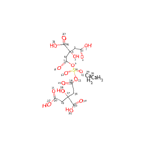 O=C(O)CC(O)(CC(=O)OS(=O)(=O)OC(=O)CC(O)(CC(=O)O)C(=O)O)C(=O)O.[CaH2].[CaH2]